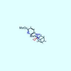 COc1ccc(NC(=O)C2C3CC2CN(SC)C3)cn1